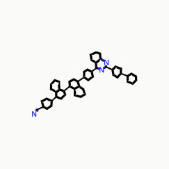 N#Cc1ccc(-c2ccc(-c3ccc(-c4ccc(-c5nc(-c6ccc(-c7ccccc7)cc6)nc6ccccc56)cc4)c4ccccc34)c3ccccc23)cc1